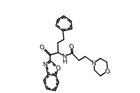 O=C(CCN1CCOCC1)NC(CCc1ccccc1)C(=O)c1nc2ccccc2o1